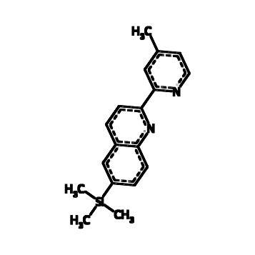 Cc1ccnc(-c2ccc3cc([Si](C)(C)C)ccc3n2)c1